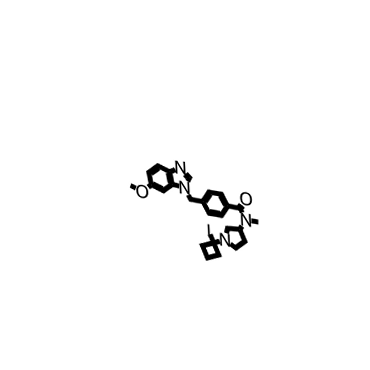 COc1ccc2ncn(Cc3ccc(C(=O)N(C)C4CCN(C5(I)CCC5)C4)cc3)c2c1